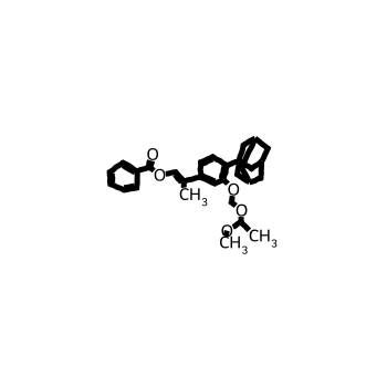 COC(C)OCOc1cc(/C(C)=C/OC(=O)c2ccccc2)ccc1C12CC3CC(CC(C3)C1)C2